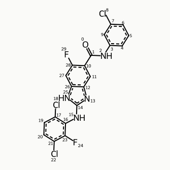 O=C(Nc1cccc(Cl)c1)c1cc2nc(Nc3c(Cl)ccc(Cl)c3F)[nH]c2cc1F